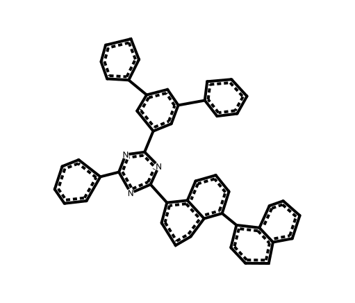 c1ccc(-c2cc(-c3ccccc3)cc(-c3nc(-c4ccccc4)nc(-c4cccc5c(-c6cccc7ccccc67)cccc45)n3)c2)cc1